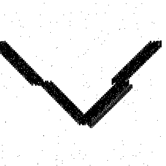 Cl.Cl.Cl.Cl.Cl.Cl.Cl.Cl.Cl.Cl.Cl.Cl.Cl.Cl.Cl.Cl.Cl.Cl.Cl.Cl.Cl.Cl.Cl.Cl.Cl.Cl.Cl.Cl.Cl.Cl.Cl.Cl.Cl.Cl.Cl.Cl.Cl.Cl.Cl.Cl.Cl.Cl.Cl.Cl.Cl.Cl.Cl.Cl.Cl.Cl.N.N.N.N.N.N.N.N.N.N.N.N.N.N.N.N.N.N.N.N.N.N.N.N.N.N.N.N.N.N.N.N.N.N.N.N.N.N.N.N.N.N.N.N.N.N.N.N.N.N